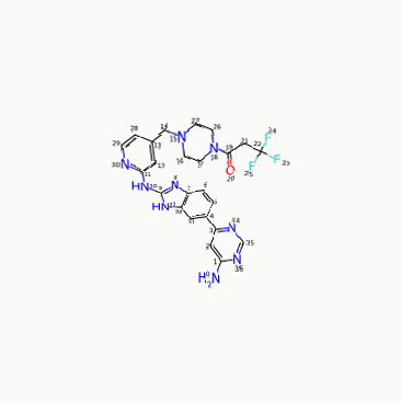 Nc1cc(-c2ccc3nc(Nc4cc(CN5CCN(C(=O)CC(F)(F)F)CC5)ccn4)[nH]c3c2)ncn1